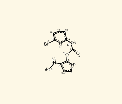 CC(C)Nc1scnc1OC(=O)Nc1cccc(Br)n1